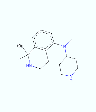 CN(c1cccc2c1CCNC2(C)C(C)(C)C)C1CCNCC1